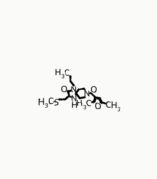 CCCCN1C(=O)C(CCSC)NC12CCN(C(=O)c1cc(C)oc1C)CC2